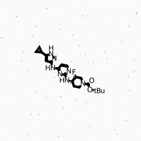 CC(C)(C)OC(=O)N1CC[C@@H](Nc2nccc(Nc3cc(C4CC4)[nH]n3)n2)[C@@H](F)C1